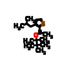 CB(OC(C)(C)C(C)(C)C)c1sccc1CC(C)C